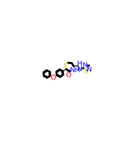 O=C1N[C@H](CNc2ncns2)CCS[C@@H]1c1ccc(Oc2ccccc2)cc1